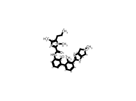 CCCc1c(C)nc(C(=O)Nc2cccc(-c3cccc(-c4nc5c(o4)CN(C)C5)c3C)c2Cl)n1C